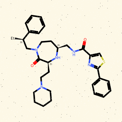 CC[C@H](CN1CC[C@@H](CNC(=O)c2csc(-c3ccccc3)n2)N[C@@H](CCN2CCCCC2)C1=O)c1ccccc1